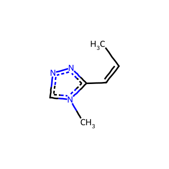 C/C=C\c1nncn1C